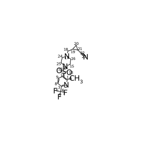 Cc1nc(C(F)(F)F)ccc1S(=O)(=O)N1CCN(CC2CC2C#N)CC1